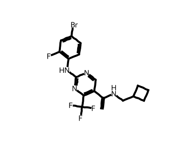 C=C(NCC1CCC1)c1cnc(Nc2ccc(Br)cc2F)nc1C(F)(F)F